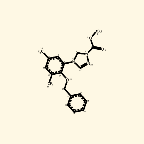 CC(C)(C)OC(=O)N1CN(c2cc(C(F)(F)F)cc(C(F)(F)F)c2OCc2ccccc2)C=N1